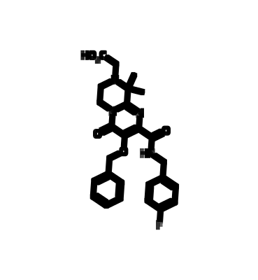 CC1(C)c2nc(C(=O)NCc3ccc(F)cc3)c(OCc3ccccc3)c(=O)n2CCN1CC(=O)O